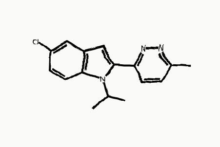 Cc1ccc(-c2cc3cc(Cl)ccc3n2C(C)C)nn1